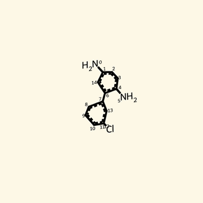 Nc1ccc(N)c(-c2cccc(Cl)c2)c1